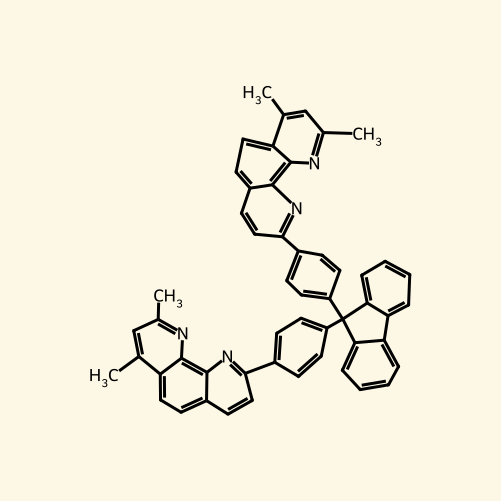 Cc1cc(C)c2ccc3ccc(-c4ccc(C5(c6ccc(-c7ccc8ccc9c(C)cc(C)nc9c8n7)cc6)c6ccccc6-c6ccccc65)cc4)nc3c2n1